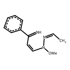 C/C=N\N(/C=C\C(=N)c1ccccc1)OC